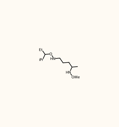 CCC(ONCC[CH]C(C)NOC)C(C)C